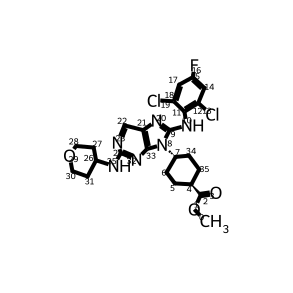 COC(=O)[C@H]1CC[C@H](n2c(Nc3c(Cl)cc(F)cc3Cl)nc3cnc(NC4CCOCC4)nc32)CC1